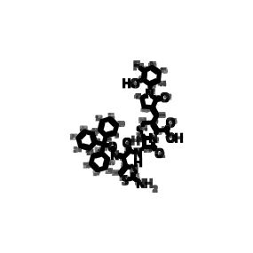 Nc1nc(/C(=N/OC(c2ccccc2)(c2ccccc2)c2ccccc2)C(=O)N[C@@H]2C(=O)N3C(C(=O)O)=C(/C=C4\CCN(c5cccc(F)c5O)C4=O)CS[C@H]23)cs1